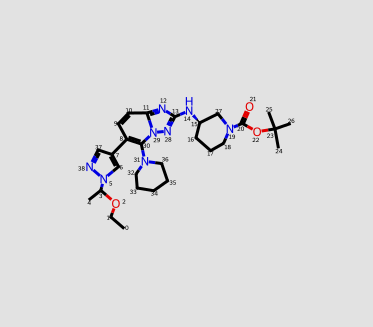 CCOC(C)n1cc(-c2ccc3nc(N[C@@H]4CCCN(C(=O)OC(C)(C)C)C4)nn3c2N2CCCCC2)cn1